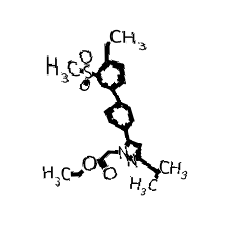 CCOC(=O)Cn1nc(C(C)C)cc1-c1ccc(-c2ccc(CC)c(S(C)(=O)=O)c2)cc1